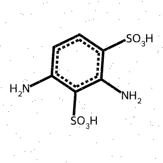 Nc1ccc(S(=O)(=O)O)c(N)c1S(=O)(=O)O